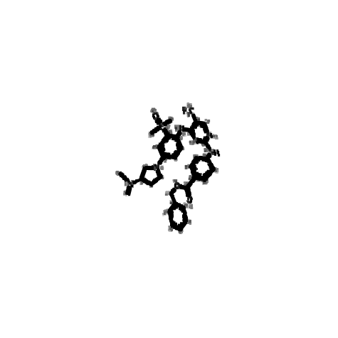 CN(C)[C@@H]1CCN(c2ccc(Nc3nc(Nc4ccc(C(=O)OCc5ccccc5)cc4)ncc3C(F)(F)F)c(P(C)(C)=O)c2)C1